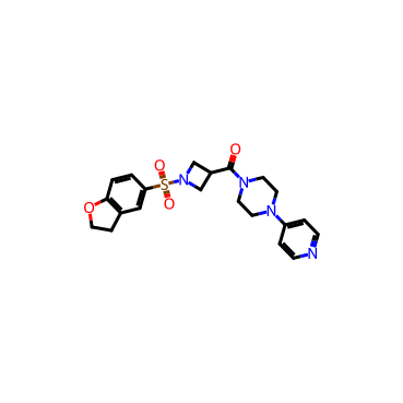 O=C(C1CN(S(=O)(=O)c2ccc3c(c2)CCO3)C1)N1CCN(c2ccncc2)CC1